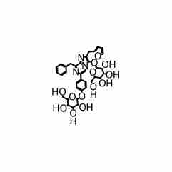 OCC1OC(Oc2ccc(-c3cn4c(OC5OC(CO)C(O)C(O)C5O)c(Cc5ccco5)nc4c(Cc4ccccc4)n3)cc2)C(O)C(O)C1O